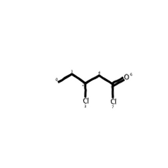 CCC(Cl)CC(=O)Cl